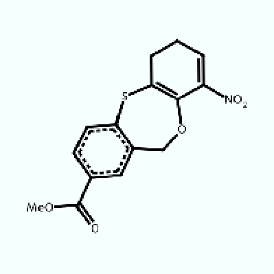 COC(=O)c1ccc2c(c1)COC1=C(CCC=C1[N+](=O)[O-])S2